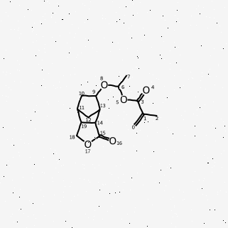 C=C(C)C(=O)OC(C)OC1CC2CC1C1C(=O)OCC21